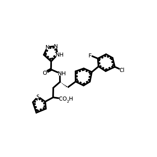 O=C(N[C@H](Cc1ccc(-c2cc(Cl)ccc2F)cc1)CC(C(=O)O)c1cccs1)c1cnn[nH]1